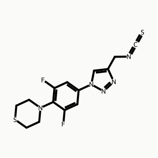 Fc1cc(-n2cc(CN=C=S)nn2)cc(F)c1N1CCSCC1